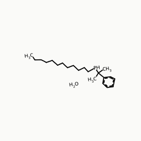 CCCCCCCCCCCCPC(C)(C)c1ccccc1.O